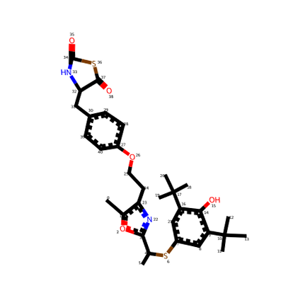 Cc1oc(C(C)Sc2cc(C(C)(C)C)c(O)c(C(C)(C)C)c2)nc1CCOc1ccc(CC2NC(=O)SC2=O)cc1